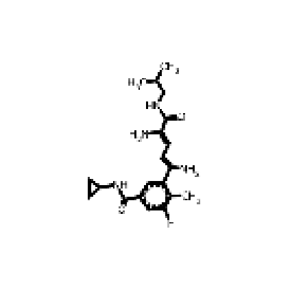 Cc1c(F)cc(C(=O)NC2CC2)cc1/C(N)=C/C=C(\N)C(=O)NCC(C)C